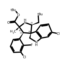 CC(C)(C)C[C@@H]1N[C@@](C)(C(=O)OC(C)(C)C)[C@H](c2cccc(Cl)c2F)[C@]12CNc1cc(Cl)ccc12